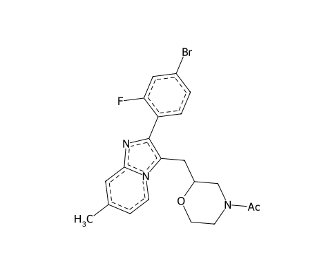 CC(=O)N1CCOC(Cc2c(-c3ccc(Br)cc3F)nc3cc(C)ccn23)C1